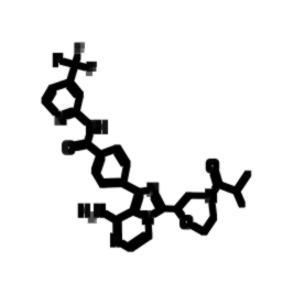 CC(C)C(=O)N1CCOC(c2nc(-c3ccc(C(=O)Nc4cc(C(F)(F)F)ccn4)cc3)c3c(N)nccn23)C1